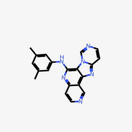 Cc1cc(C)cc(Nc2nc3ccncc3c3nc4ccncn4c23)c1